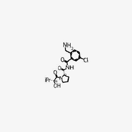 CC(C)[C@@H](O)C(=O)N1CCC[C@H]1C(=O)NC(=O)c1cc(Cl)ccc1CN